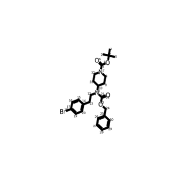 CC(C)(C)OC(=O)N1CCC(N(CCc2ccc(Br)cc2)C(=O)OCc2ccccc2)CC1